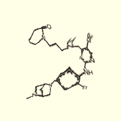 CCc1cc(N2CC3CC2CN3C)ccc1Nc1ncc(Br)c(NCCCN2CCCC2=O)n1